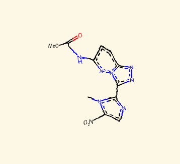 COC(=O)Nc1ccc2nnc(-c3ncc([N+](=O)[O-])n3C)n2n1